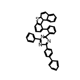 C1=CC2Sc3cccc(-c4ccccc4-c4nc(-c5ccccc5)nc(-c5ccc(-c6ccccc6)cc5)n4)c3C2c2ccccc21